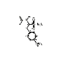 C=C(C)C(C)C(Cc1ccc(OC)cc1)S(N)(=O)=O